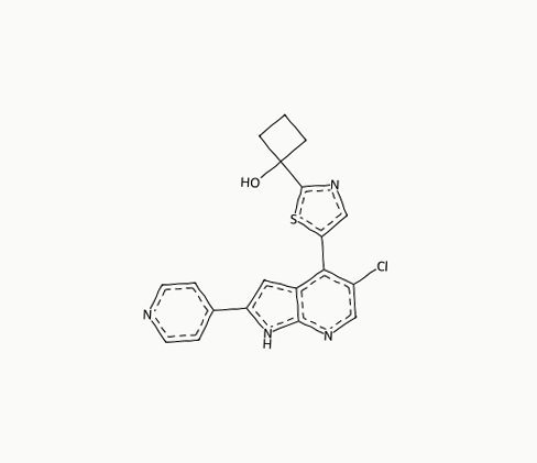 OC1(c2ncc(-c3c(Cl)cnc4[nH]c(-c5ccncc5)cc34)s2)CCC1